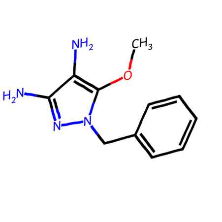 COc1c(N)c(N)nn1Cc1ccccc1